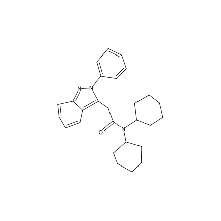 O=C(Cc1c2ccccc2nn1-c1ccccc1)N(C1CCCCC1)C1CCCCC1